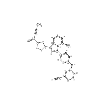 CC#CC(=O)N1CCC(c2nc(-c3ccc(Oc4cc(C#N)ccn4)cn3)n3c(N)nccc23)C1